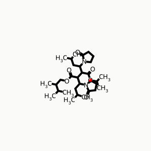 CC(C)CC(C(C(=O)OCC(C)C(C)C)C(C(=O)OC(C)C)C(CC(C)C)N1CCCC1=O)N1CCCC1=O